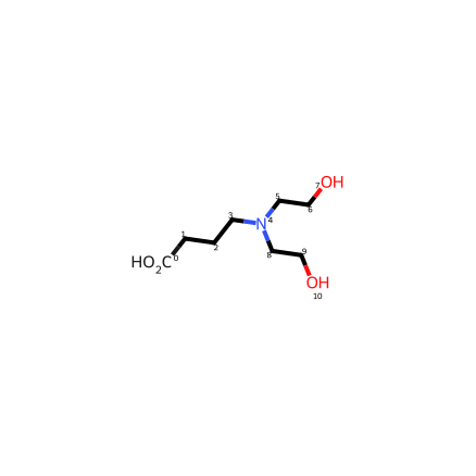 O=C(O)CCCN(CCO)CCO